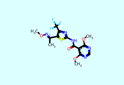 CO/N=C(\C)c1sc(NC(=O)c2c(OC)ncnc2OC)nc1C(F)(F)F